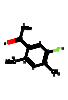 COC(=O)c1cc(F)c(C)cc1OC